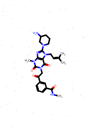 CNC(=O)c1cccc(C(=O)Cn2c(=O)c3c(nc(N4CCCC(N)C4)n3CC=C(C)C)n(C)c2=O)c1